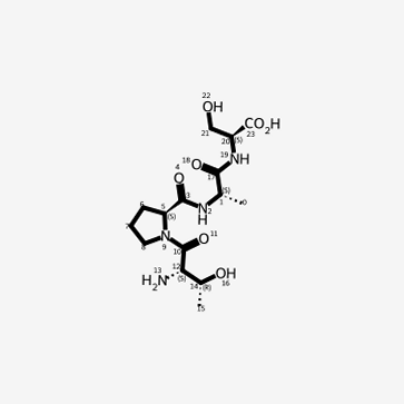 C[C@H](NC(=O)[C@@H]1CCCN1C(=O)[C@@H](N)[C@@H](C)O)C(=O)N[C@@H](CO)C(=O)O